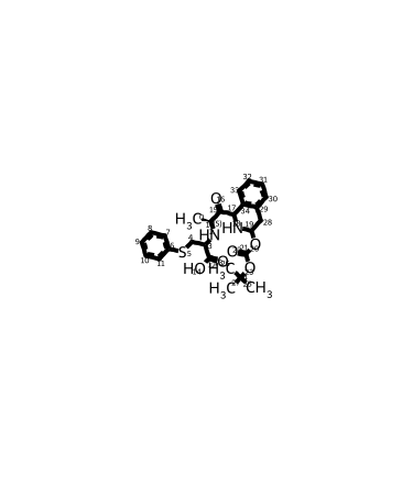 C[C@H](NC(CSc1ccccc1)C(=O)O)C(=O)C1NC(OC(=O)OC(C)(C)C)Cc2ccccc21